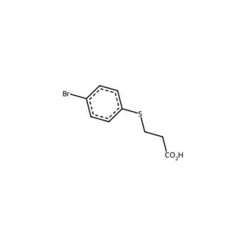 O=C(O)CCSc1ccc(Br)cc1